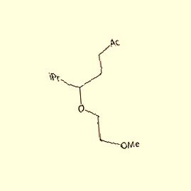 COCCOC(CCC(C)=O)C(C)C